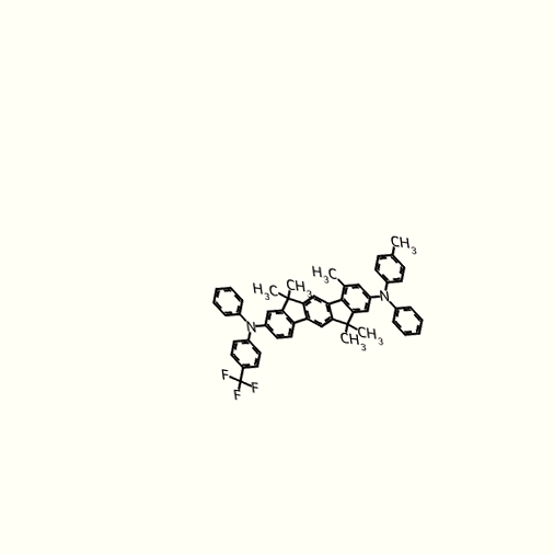 Cc1ccc(N(c2ccccc2)c2cc(C)c3c(c2)C(C)(C)c2cc4c(cc2-3)C(C)(C)c2cc(N(c3ccccc3)c3ccc(C(F)(F)F)cc3)ccc2-4)cc1